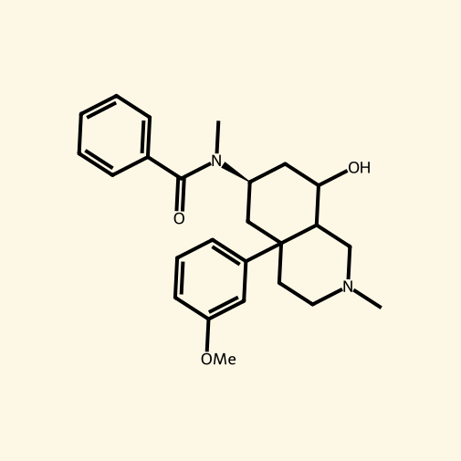 COc1cccc(C23CCN(C)CC2C(O)C[C@H](N(C)C(=O)c2ccccc2)C3)c1